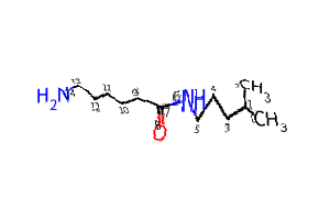 CC(C)CCCNC(=O)CCCCCN